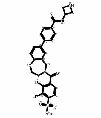 CCc1c(C(=O)N2CCOc3ccc(-c4ccc(C(=O)NC5CNC5)cc4)cc3C2)ccc(S(C)(=O)=O)c1F